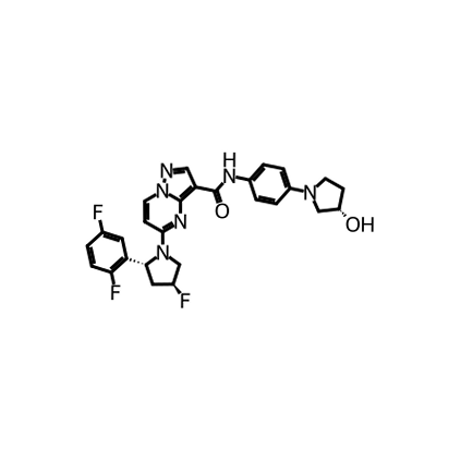 O=C(Nc1ccc(N2CC[C@H](O)C2)cc1)c1cnn2ccc(N3C[C@@H](F)C[C@@H]3c3cc(F)ccc3F)nc12